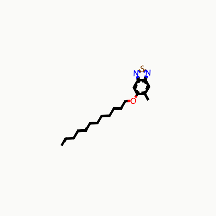 CCCCCCCCCCCCOc1cc2nsnc2cc1C